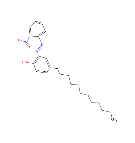 CCCCCCCCCCCCc1ccc(O)c(N=Nc2ccccc2[N+](=O)[O-])c1